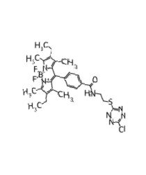 CCC1=C(C)C2=C(c3ccc(C(=O)NCCSc4nnc(Cl)nn4)cc3)c3c(C)c(CC)c(C)n3[B-](F)(F)[N+]2=C1C